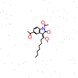 CCCCCCC/C(OC)=C1/C(=O)N(C(C)=O)c2ccc(C(C)=O)cc21